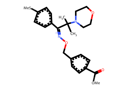 COC(=O)c1ccc(CO/N=C(/c2ccc(SC)cc2)C(C)(C)N2CCOCC2)cc1